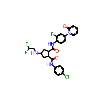 O=C(Nc1ccc(Cl)cc1)C1CC(NCC(F)F)CC1C(=O)Nc1ccc(-n2ccccc2=O)cc1F